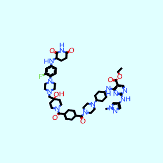 CCOC(=O)c1cnc(Nc2cnn(C)c2)nc1NC1CCC(N2CCN(C(=O)C3CCC(C(=O)N4CCC(O)(CN5CCN(c6ccc(NC7CCC(=O)NC7=O)cc6F)CC5)CC4)CC3)CC2)CC1